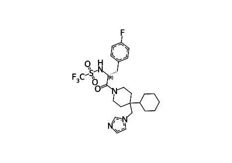 O=C([C@@H](Cc1ccc(F)cc1)NS(=O)(=O)C(F)(F)F)N1CCC(Cn2ccnc2)(C2CCCCC2)CC1